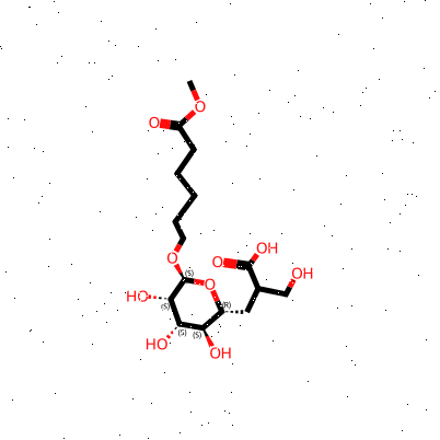 COC(=O)CCCCCO[C@H]1O[C@H](CC(CO)C(=O)O)[C@@H](O)[C@H](O)[C@@H]1O